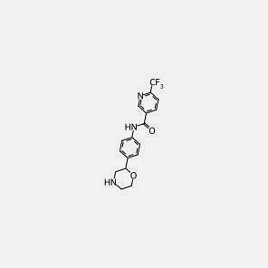 O=C(Nc1ccc(C2CNCCO2)cc1)c1ccc(C(F)(F)F)nc1